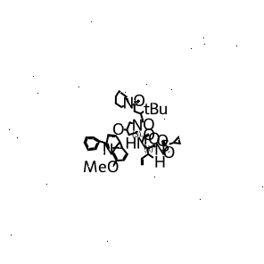 C=CC(C)[C@@H](NC(=O)[C@@H]1CC(OC2=CC(c3ccccc3)=NC34C=C(OC)C=CC3C24)CN1C(=O)C(CC(=O)N1CCCCC1)C(C)(C)C)C(=O)NS(=O)(=O)C1CC1